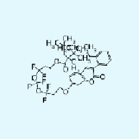 CCc1ccccc1-c1cc2ccc(OCCC(F)(F)OC(F)(F)OC(F)(F)CCOC(=O)C(C)(CC(C)(C)C)C(C)(C)C)cc2oc1=O